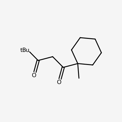 CC(C)(C)C(=O)CC(=O)C1(C)CCCCC1